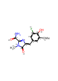 COc1cc(/C=C2\N=C(C(N)=O)N(C)C2=O)cc(F)c1O